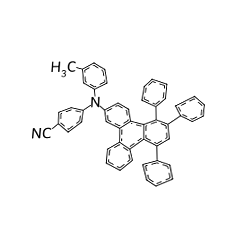 Cc1cccc(N(c2ccc(C#N)cc2)c2ccc3c(c2)c2ccccc2c2c(-c4ccccc4)cc(-c4ccccc4)c(-c4ccccc4)c32)c1